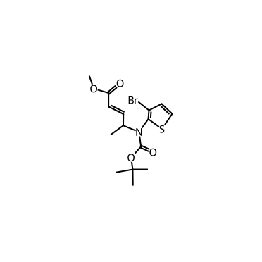 COC(=O)/C=C/C(C)N(C(=O)OC(C)(C)C)c1sccc1Br